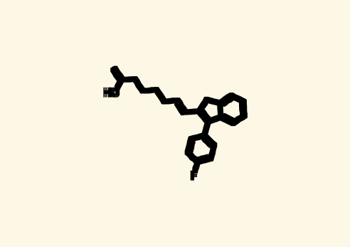 C=C(O)CCCC/C=C/C1=C(c2ccc(F)cc2)c2ccccc2C1